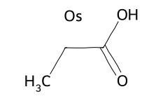 CCC(=O)O.[Os]